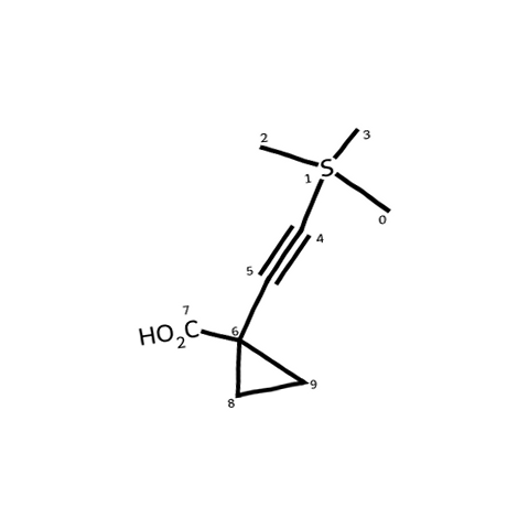 CS(C)(C)C#CC1(C(=O)O)CC1